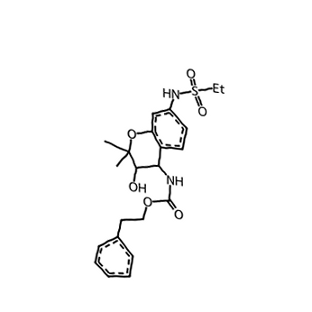 CCS(=O)(=O)Nc1ccc2c(c1)OC(C)(C)C(O)C2NC(=O)OCCc1ccccc1